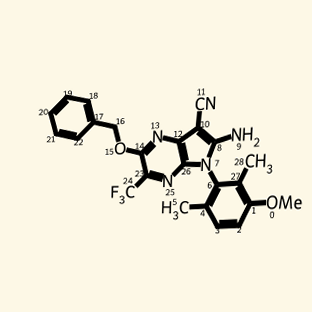 COc1ccc(C)c(-n2c(N)c(C#N)c3nc(OCc4ccccc4)c(C(F)(F)F)nc32)c1C